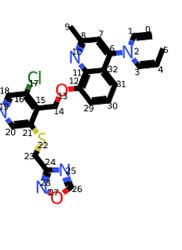 C=CN(/C=C\C)c1cc(C)nc2c(OCc3c(Cl)cncc3SCc3ncon3)cccc12